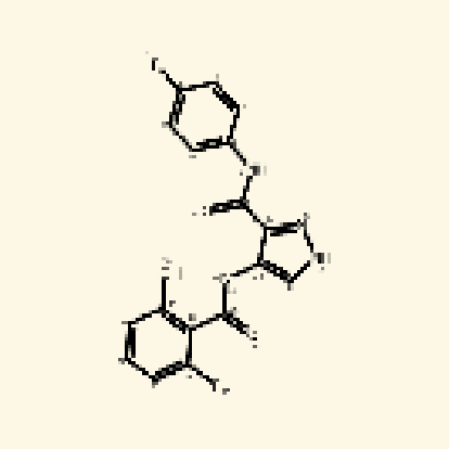 O=C(Nc1ccc(F)cc1)c1n[nH]cc1NC(=O)c1c(O)cccc1F